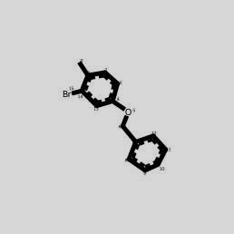 Cc1c[c]c(OCc2ccccc2)cc1Br